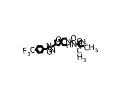 Cc1noc(NC(=O)N2CCC3(CC2)CC(c2noc(-c4ccc(C(F)(F)F)cc4)n2)CO3)c1C